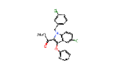 COC(=O)c1c(Oc2ccccc2)c2cc(Cl)ccc2n1Cc1cccc(Cl)c1